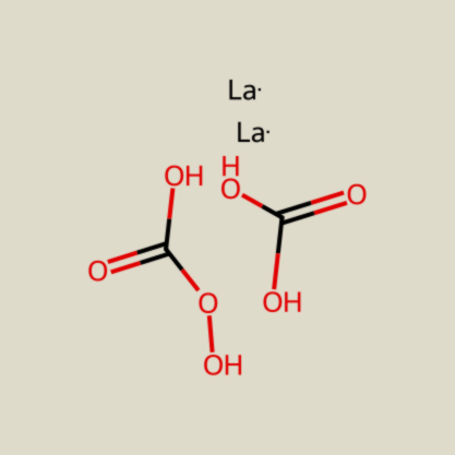 O=C(O)O.O=C(O)OO.[La].[La]